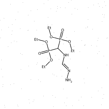 CCOP(=O)(OCC)C(NC=NN)P(=O)(OCC)OCC